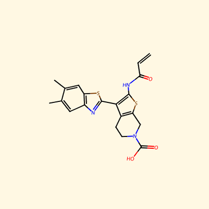 C=CC(=O)Nc1sc2c(c1-c1nc3cc(C)c(C)cc3s1)CCN(C(=O)O)C2